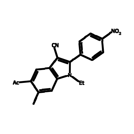 CCn1c(-c2ccc([N+](=O)[O-])cc2)c(C#N)c2cc(C(C)=O)c(C)cc21